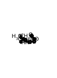 CN(C)C(=O)c1cc2cnc(Nc3ccc(-c4cccc5c(=O)cc(N6CCOCC6)oc45)cc3)nc2n1C1CCCC1